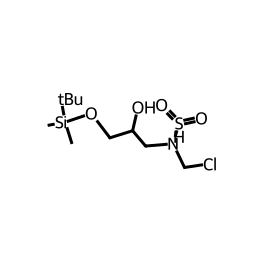 CC(C)(C)[Si](C)(C)OCC(O)CN(CCl)[SH](=O)=O